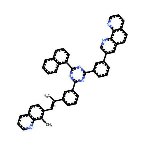 C/C(=C\c1ccc2cccnc2c1C)c1cccc(-c2nc(-c3cccc(-c4cnc5c(ccc6cccnc65)c4)c3)nc(-c3cccc4ccccc34)n2)c1